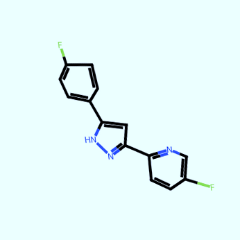 Fc1ccc(-c2cc(-c3ccc(F)cn3)n[nH]2)cc1